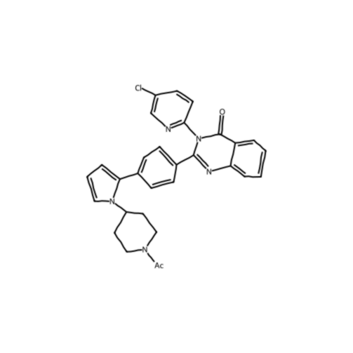 CC(=O)N1CCC(n2cccc2-c2ccc(-c3nc4ccccc4c(=O)n3-c3ccc(Cl)cn3)cc2)CC1